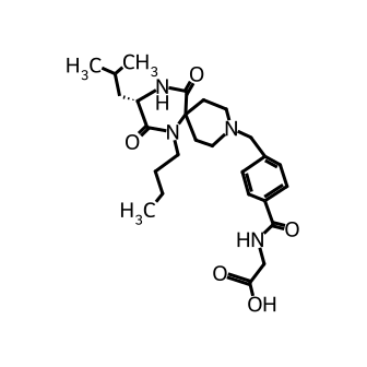 CCCCN1C(=O)[C@H](CC(C)C)NC(=O)C12CCN(Cc1ccc(C(=O)NCC(=O)O)cc1)CC2